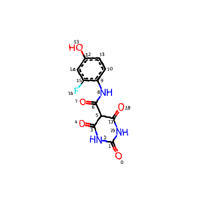 O=C1NC(=O)C(C(=O)Nc2ccc(O)cc2F)C(=O)N1